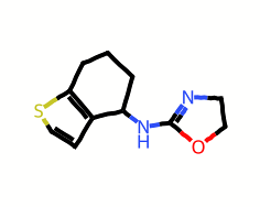 c1cc2c(s1)CCCC2NC1=NCCO1